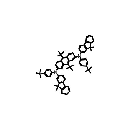 CC(C)(C)c1ccc(N(c2ccc3c(c2)C(C)(C)C2=C3C=CCC2)c2ccc3c(C(C)(C)C)c4ccc(N(c5ccc(C(C)(C)C)cc5)c5ccc6c(c5)C(C)(C)C5=C6C=CCC5)cc4c(C(C)(C)C)c3c2)cc1